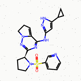 O=S(=O)(c1cccnc1)N1CCC[C@H]1C1=NN2CCC=C2C(Nc2cc(C3CC3)[nH]n2)=N1